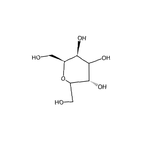 OCC1O[C@@H](CO)[C@@H](O)C(O)[C@@H]1O